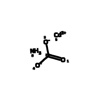 N.O=C([O-])[O-].[Cd+2]